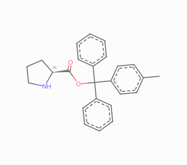 Cc1ccc(C(OC(=O)[C@@H]2CCCN2)(c2ccccc2)c2ccccc2)cc1